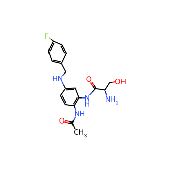 CC(=O)Nc1ccc(NCc2ccc(F)cc2)cc1NC(=O)[C@H](N)CO